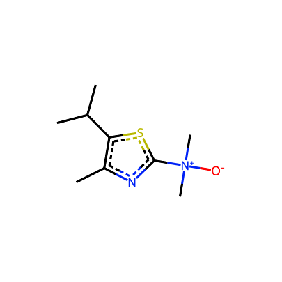 Cc1nc([N+](C)(C)[O-])sc1C(C)C